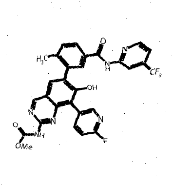 COC(=O)Nc1ncc2cc(-c3cc(C(=O)Nc4cc(C(F)(F)F)ccn4)ccc3C)c(O)c(-c3ccc(F)nc3)c2n1